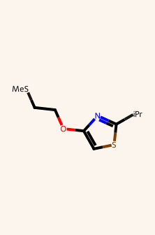 CSCCOc1csc(C(C)C)n1